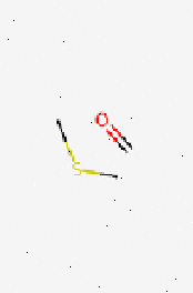 C=O.CSC